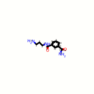 NCCCNC(=O)c1cccc(C(N)=O)c1